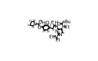 CCCCC(=O)N(CC)c1cnc(N(CC)CC)nc1N[C@@H](Cc1ccc(OC(=O)N2CCCC2)cc1)C(=O)O